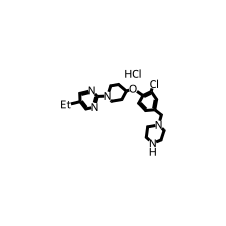 CCc1cnc(N2CCC(Oc3ccc(CN4CCNCC4)cc3Cl)CC2)nc1.Cl